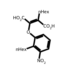 CCCCCCC(C(=O)O)=C(Oc1cccc([N+](=O)[O-])c1CCCCCC)C(=O)O